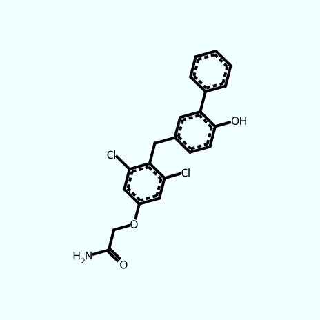 NC(=O)COc1cc(Cl)c(Cc2ccc(O)c(-c3ccccc3)c2)c(Cl)c1